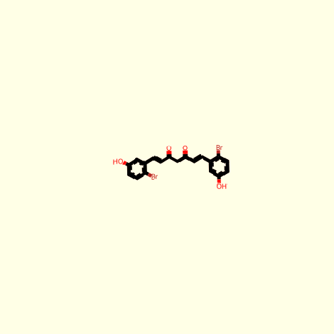 O=C(C=Cc1cc(O)ccc1Br)CC(=O)C=Cc1cc(O)ccc1Br